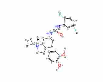 COc1ccc([C@@]23CC[C@@H](NC(=O)Nc4cc(F)ccc4F)C[C@@H]2N(C2CCC2)CC3)cc1OC